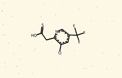 OC(=S)Cc1ncc(C(F)(F)F)cc1Cl